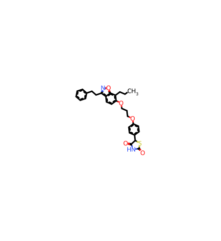 CCCc1c(OCCCOc2ccc(C3SC(=O)NC3=O)cc2)ccc2c(CCc3ccccc3)noc12